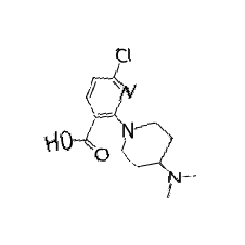 CN(C)C1CCN(c2nc(Cl)ccc2C(=O)O)CC1